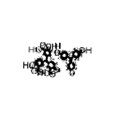 O=C(O)C1=CC(=C(c2ccc(O)c(C(=O)O)c2)c2ccc(O)c(C(=O)O)c2)C=CC1=O.O=C1C=CC(=C(c2ccc(O)cc2)c2ccc(O)cc2)C=C1